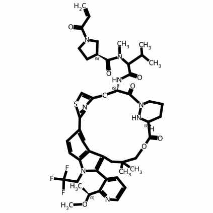 C=CC(=O)N1CC[C@H](C(=O)N(C)C(C(=O)N[C@H]2Cc3csc(n3)-c3ccc4c(c3)c(c(-c3cccnc3[C@H](C)OC)n4CC(F)(F)F)CC(C)(C)COC(=O)[C@@H]3CCCN(N3)C2=O)C(C)C)C1